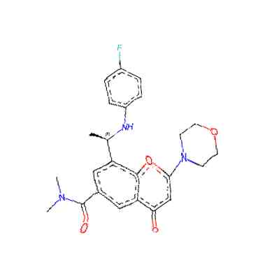 C[C@@H](Nc1ccc(F)cc1)c1cc(C(=O)N(C)C)cc2c(=O)cc(N3CCOCC3)oc12